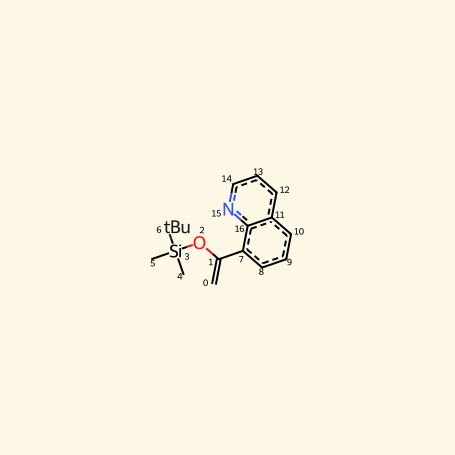 C=C(O[Si](C)(C)C(C)(C)C)c1cccc2cccnc12